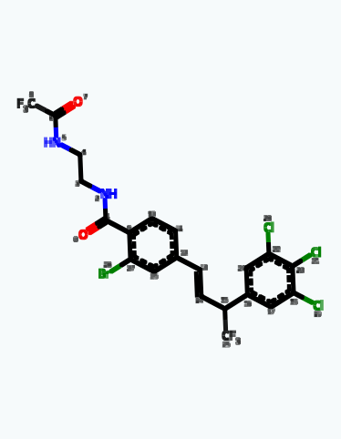 O=C(NCCNC(=O)C(F)(F)F)c1ccc(/C=C/C(c2cc(Cl)c(Cl)c(Cl)c2)C(F)(F)F)cc1Br